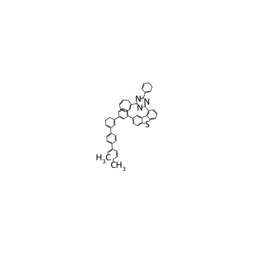 C/C=C(\C=C/CC)c1ccc(C2=CCCC(c3cccc(-c4ccc5sc6cccc(-c7nc(C8=CCCC=C8)nc(C8=CC=CC=CC8)n7)c6c5c4)c3)=C2)cc1